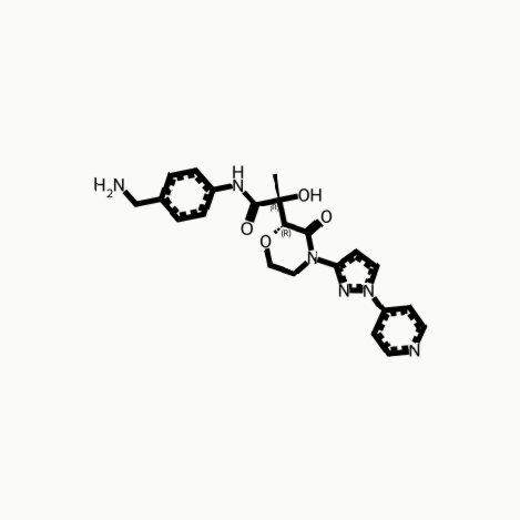 C[C@](O)(C(=O)Nc1ccc(CN)cc1)[C@H]1OCCN(c2ccn(-c3ccncc3)n2)C1=O